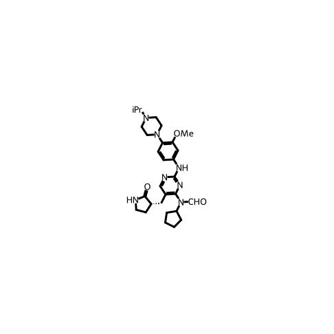 COc1cc(Nc2ncc(C[C@@H]3CCNC3=O)c(N(C=O)C3CCCC3)n2)ccc1N1CCN(C(C)C)CC1